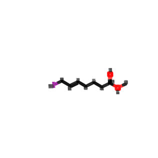 COC(=O)CCCC=CCI